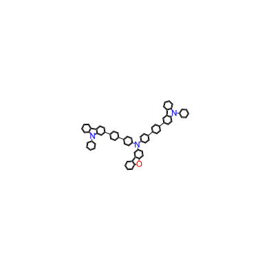 c1ccc(-n2c3ccccc3c3cc(-c4ccc(-c5ccc(N(c6ccc(-c7ccc(-c8ccc9c%10ccccc%10n(-c%10ccccc%10)c9c8)cc7)cc6)c6ccc7oc8ccccc8c7c6)cc5)cc4)ccc32)cc1